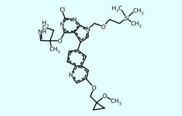 CCC(C)(C=N)Oc1nc(Cl)nc2c1c(-c1ccc3ncc(OCC4(OC)CC4)cc3c1)cn2COCC[Si](C)(C)C